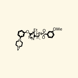 CCn1c(Oc2cccc(N3CCN(C)CC3)c2)nnc1[C@@H](C)NS(=O)(=O)c1cccc(OC)c1